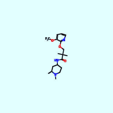 CC1CC(NC(=O)C(C)(C)COc2ncccc2OC(F)(F)F)CCN1C